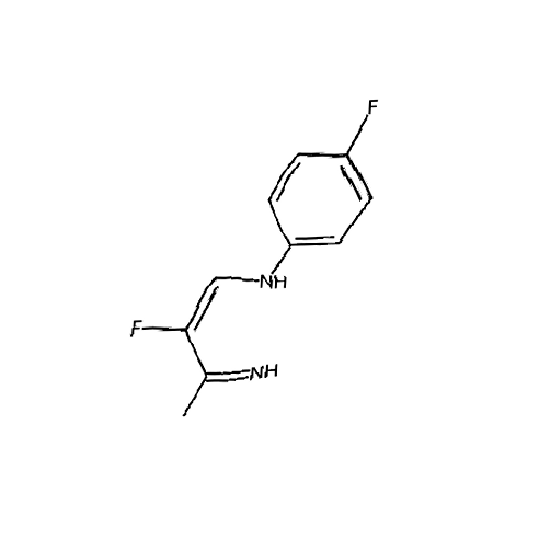 CC(=N)/C(F)=C\Nc1ccc(F)cc1